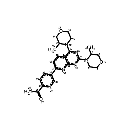 CC1COCCN1c1nc(N2CCOCC2C)c2ccc(-c3ccc(C(N)=O)nc3)nc2n1